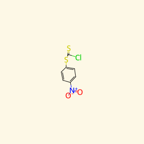 O=[N+]([O-])c1ccc(SC(=S)Cl)cc1